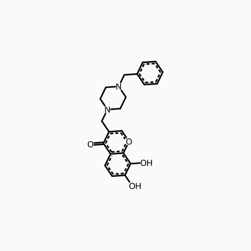 O=c1c(CN2CCN(Cc3ccccc3)CC2)coc2c(O)c(O)ccc12